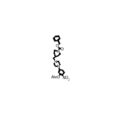 COc1cc(N2CCN(CC3CCN(C(=O)OCc4ccccc4)CC3)CC2)ccc1[N+](=O)[O-]